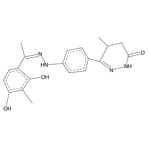 CC(=NNc1ccc(C2=NNC(=O)CC2C)cc1)c1ccc(O)c(C)c1O